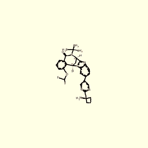 BC(B)(B)N1C(=O)c2cccc(OC(F)F)c2[C@H]2C[C@@H]1c1nc3ccc(-c4cnc(C5(N)CCC5)nc4)cc3n12